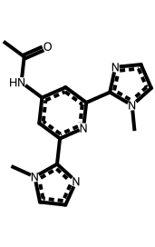 CC(=O)Nc1cc(-c2nccn2C)nc(-c2nccn2C)c1